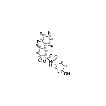 O=C(NS(=O)(=O)c1cc(-c2c(F)cc(F)c(F)c2F)c(F)cc1Cl)[C@H]1CC[C@H](O)CC1